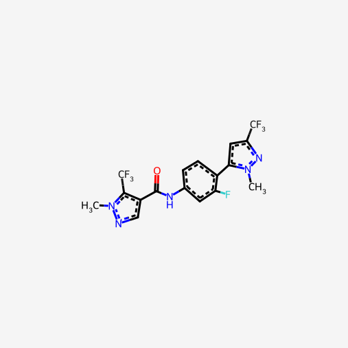 Cn1nc(C(F)(F)F)cc1-c1ccc(NC(=O)c2cnn(C)c2C(F)(F)F)cc1F